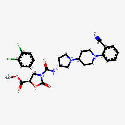 COC(=O)[C@@H]1OC(=O)N(C(=O)N[C@@H]2CCN(C3CCN(c4ccccc4C#N)CC3)C2)[C@H]1c1ccc(F)c(F)c1